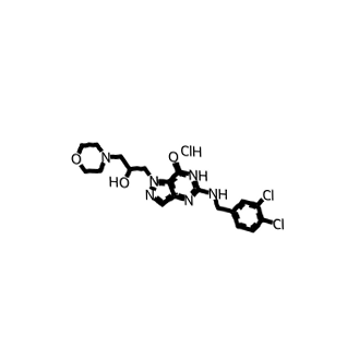 Cl.O=c1[nH]c(NCc2ccc(Cl)c(Cl)c2)nc2cnn(CC(O)CN3CCOCC3)c12